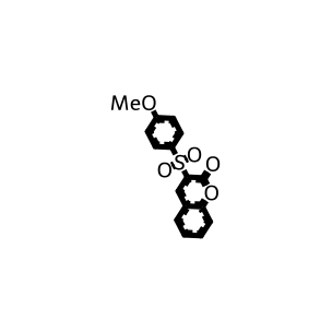 COc1ccc(S(=O)(=O)c2cc3ccccc3oc2=O)cc1